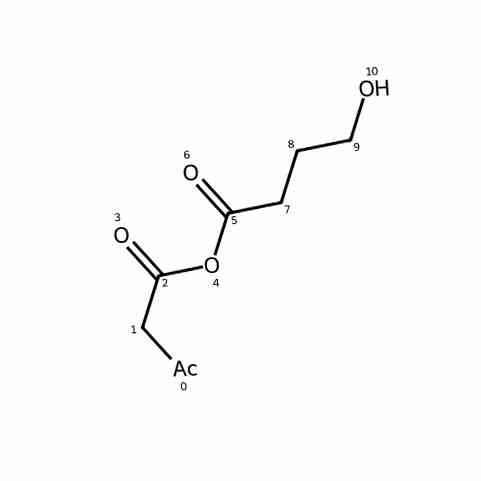 CC(=O)CC(=O)OC(=O)CCCO